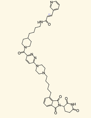 O=C(/C=C/c1cccnc1)NCCCCC1CCN(C(=O)c2ccc(N3CCN(CCCCCc4cccc5c4C(=O)N(C4CCC(=O)NC4=O)C5=O)CC3)nn2)CC1